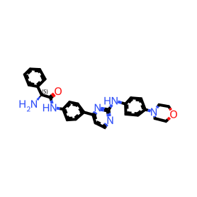 N[C@H](C(=O)Nc1ccc(-c2ccnc(Nc3ccc(N4CCOCC4)cc3)n2)cc1)c1ccccc1